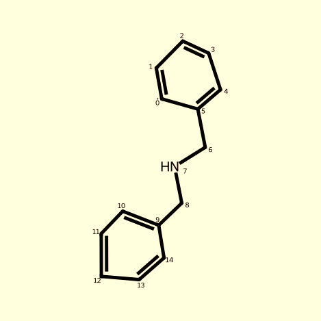 [c]1ccccc1CNCc1ccccc1